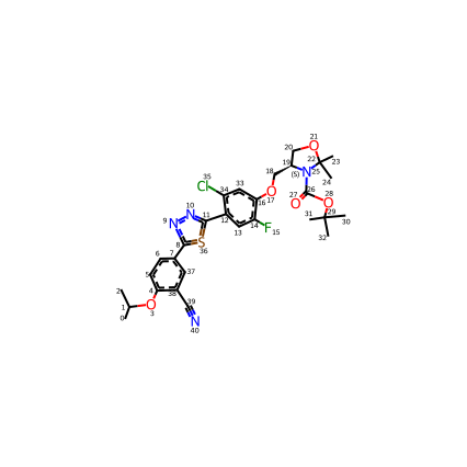 CC(C)Oc1ccc(-c2nnc(-c3cc(F)c(OC[C@H]4COC(C)(C)N4C(=O)OC(C)(C)C)cc3Cl)s2)cc1C#N